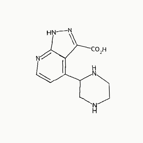 O=C(O)c1n[nH]c2nccc(C3CNCCN3)c12